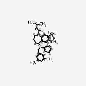 Cc1cc(C)cc(CN(c2cccnc2)C2CCCN(C(=O)OC(C)C)c3cc(C(F)(F)F)c(C)cc32)c1